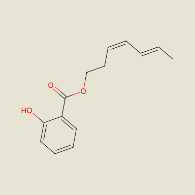 C/C=C/C=C\CCOC(=O)c1ccccc1O